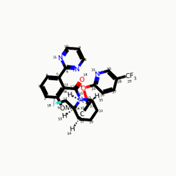 COc1cccc(-c2ncccn2)c1C(=O)N1[C@H](CF)[C@@H]2CC[C@H]1[C@H](Oc1ccc(C(F)(F)F)cn1)C2